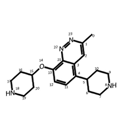 Cc1cc2c(C3CCNCC3)ccc(OC3CCNCC3)c2nn1